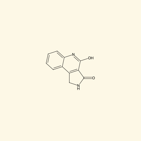 O=C1NCc2c1c(O)nc1ccccc21